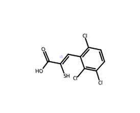 O=C(O)/C(S)=C/c1c(Cl)ccc(Cl)c1Cl